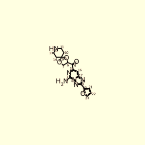 Nc1nc(C(=O)C2COC3(CCNCC3)O2)cc2nc(-c3ccco3)nn12